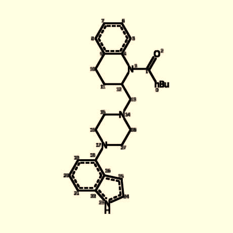 CCCCC(=O)N1c2ccccc2CCC1CN1CCN(c2cccc3[nH]ccc23)CC1